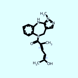 C/C(O)=C\C=C(/C)C(=O)N1Cc2cnn(C)c2Nc2ccccc21